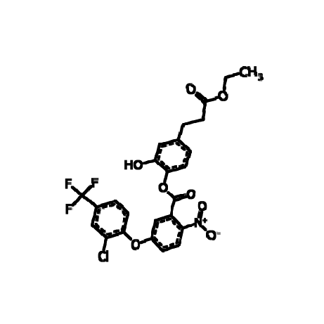 CCOC(=O)CCc1ccc(OC(=O)c2cc(Oc3ccc(C(F)(F)F)cc3Cl)ccc2[N+](=O)[O-])c(O)c1